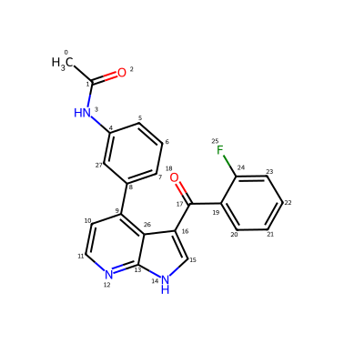 CC(=O)Nc1cccc(-c2ccnc3[nH]cc(C(=O)c4ccccc4F)c23)c1